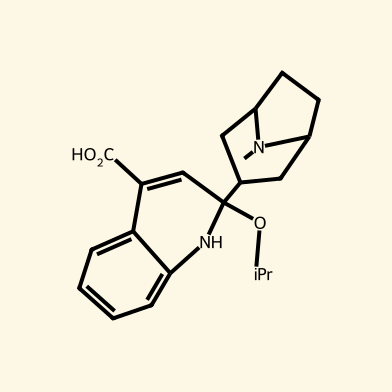 CC(C)OC1(C2CC3CCC(C2)N3C)C=C(C(=O)O)c2ccccc2N1